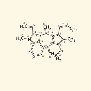 C=Cc1c(C)c(/C=C\C)n(C(=C)c2c(C=C)n(C)c3ccccc23)c1C=C